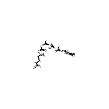 CC(=O)[O-].CC(=O)[O-].CC(=O)[O-].CC(=O)[O-].NCCCN.[Fe+3].[Fe+3].[NH2-].[NH2-].[NH2-].[NH4+]